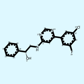 O[C@@H](CNc1cc(-c2cc(F)cc(Cl)c2)ncn1)c1ccccc1